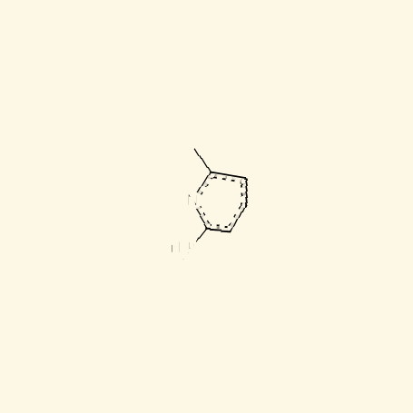 Cc1cccc(P)n1